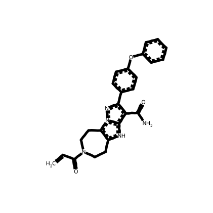 C=CC(=O)N1CCc2[nH]c3c(C(N)=O)c(-c4ccc(Oc5ccccc5)cc4)nn3c2CC1